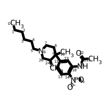 CCCCCCN1CCC(C)(c2ccc([N+](=O)[O-])c(NC(C)=O)c2)C(C)C1